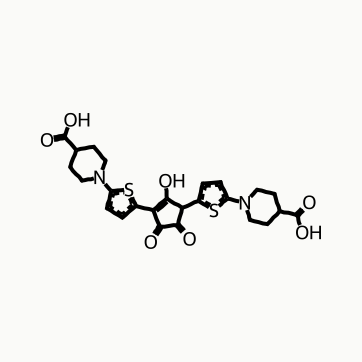 O=C1C(=O)C(c2ccc(N3CCC(C(=O)O)CC3)s2)C(O)=C1c1ccc(N2CCC(C(=O)O)CC2)s1